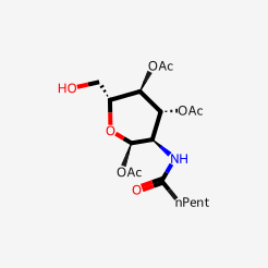 CCCCCC(=O)N[C@H]1[C@@H](OC(C)=O)O[C@H](CO)[C@@H](OC(C)=O)[C@@H]1OC(C)=O